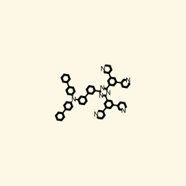 c1ccc(-c2ccc(N(c3ccc(-c4ccccc4)cc3)c3cccc(-c4cccc(-c5nc(-c6cc(-c7cccnc7)cc(-c7cccnc7)c6)nc(-c6cc(-c7cccnc7)cc(-c7cccnc7)c6)n5)c4)c3)cc2)cc1